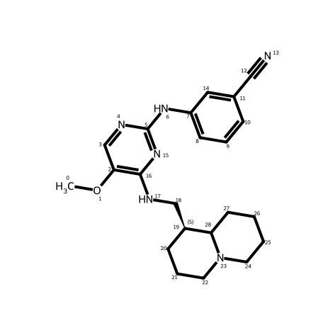 COc1cnc(Nc2cccc(C#N)c2)nc1NC[C@@H]1CCCN2CCCCC12